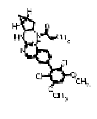 C=CC(=O)N[C@H]1C[C@H]2C[C@@H]2[C@@H]1Nc1ncc2cc(-c3c(Cl)c(OC)cc(OC)c3Cl)ccc2n1